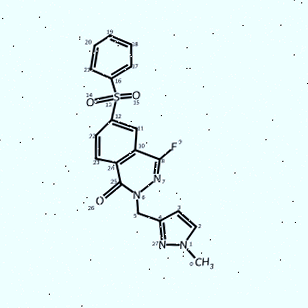 Cn1ccc(Cn2nc(F)c3cc(S(=O)(=O)c4ccccc4)ccc3c2=O)n1